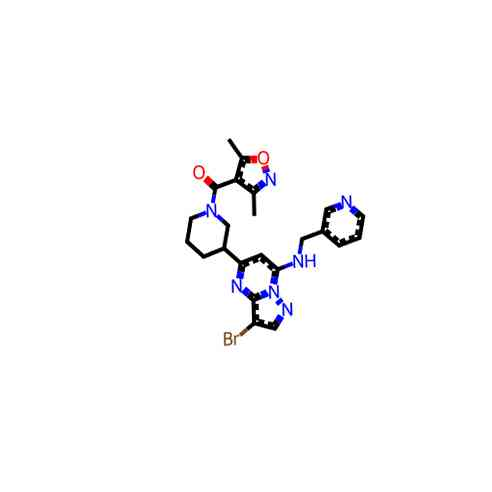 Cc1noc(C)c1C(=O)N1CCCC(c2cc(NCc3cccnc3)n3ncc(Br)c3n2)C1